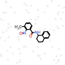 Cc1cccc(C(=O)NC2CCCc3ccccc32)c1N=O